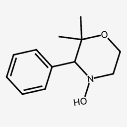 CC1(C)OCCN(O)C1c1ccccc1